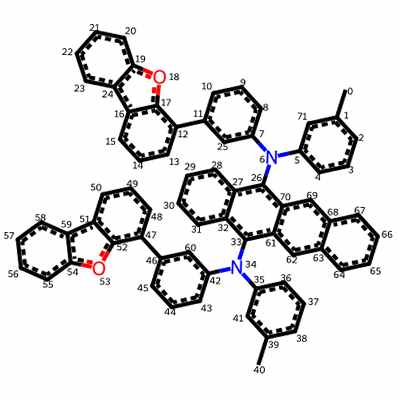 Cc1cccc(N(c2cccc(-c3cccc4c3oc3ccccc34)c2)c2c3ccccc3c(N(c3cccc(C)c3)c3cccc(-c4cccc5c4oc4ccccc45)c3)c3cc4ccccc4cc23)c1